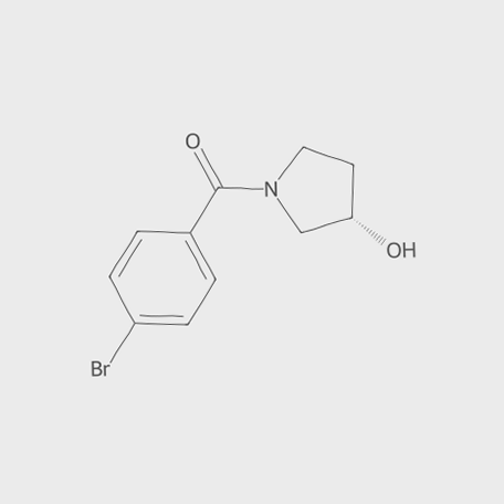 O=C(c1ccc(Br)cc1)N1CC[C@H](O)C1